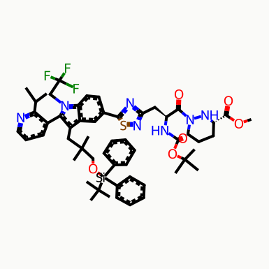 COC(=O)[C@@H]1CCCN(C(=O)[C@H](Cc2nsc(-c3ccc4c(c3)c(CC(C)(C)CO[Si](c3ccccc3)(c3ccccc3)C(C)(C)C)c(-c3cccnc3C(C)C)n4CC(F)(F)F)n2)NC(=O)OC(C)(C)C)N1